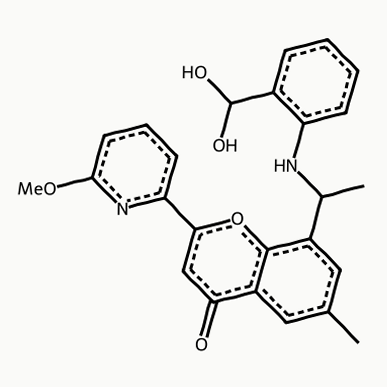 COc1cccc(-c2cc(=O)c3cc(C)cc(C(C)Nc4ccccc4C(O)O)c3o2)n1